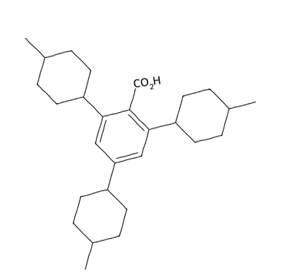 CC1CCC(c2cc(C3CCC(C)CC3)c(C(=O)O)c(C3CCC(C)CC3)c2)CC1